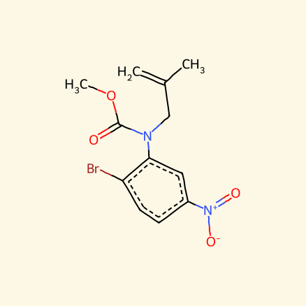 C=C(C)CN(C(=O)OC)c1cc([N+](=O)[O-])ccc1Br